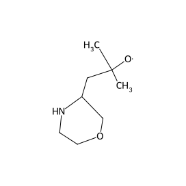 CC(C)([O])CC1COCCN1